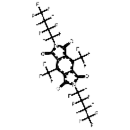 O=c1c2c(C(F)(F)F)c3c(=O)n(C(F)(F)C(F)(F)C(F)(F)C(F)(F)F)c(=O)c3c(C(F)(F)F)c2c(=O)n1C(F)(F)C(F)(F)C(F)(F)C(F)(F)F